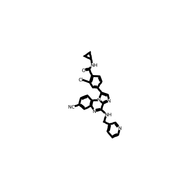 N#Cc1ccc2c(c1)nc(NCc1cccnc1)c1ncc(-c3ccc(C(=O)NC4CC4)c(Cl)c3)n12